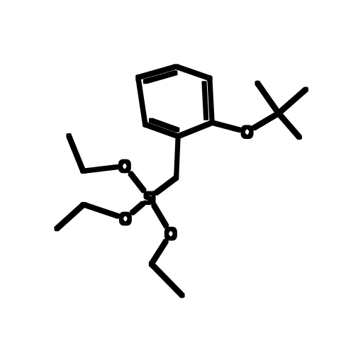 CCO[Si](Cc1ccccc1OC(C)(C)C)(OCC)OCC